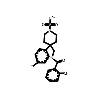 CCCS(=O)(=O)N1CCC(CNC(=O)c2ccccc2Cl)(c2ccc(F)cc2)CC1